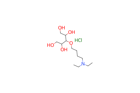 CCN(CC)CCCCOC(C(O)CO)C(O)CO.Cl